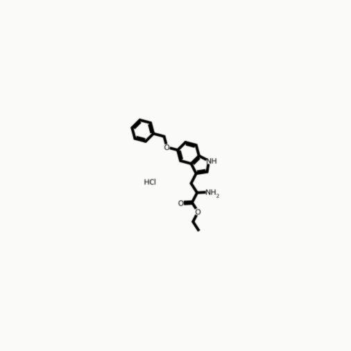 CCOC(=O)C(N)Cc1c[nH]c2ccc(OCc3ccccc3)cc12.Cl